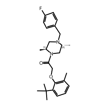 Cc1cccc(C(C)(C)C)c1OCC(=O)N1C[C@@H](C)N(Cc2ccc(F)cc2)C[C@@H]1C